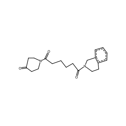 O=C1CCN(C(=O)CCCCC(=O)N2CCc3ccccc3C2)CC1